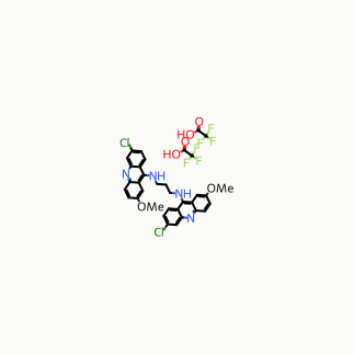 COc1ccc2nc3cc(Cl)ccc3c(NCCCNc3c4ccc(Cl)cc4nc4ccc(OC)cc34)c2c1.O=C(O)C(F)(F)F.O=C(O)C(F)(F)F